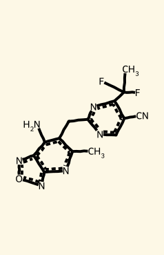 Cc1nc2nonc2c(N)c1Cc1ncc(C#N)c(C(C)(F)F)n1